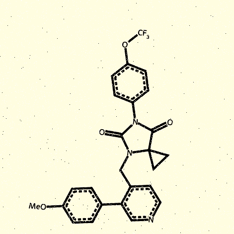 COc1ccc(-c2cnccc2CN2C(=O)N(c3ccc(OC(F)(F)F)cc3)C(=O)C23CC3)cc1